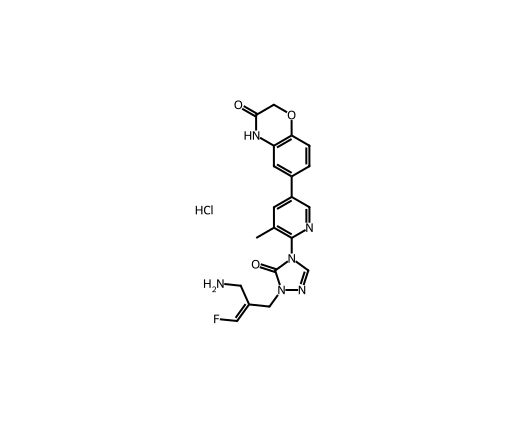 Cc1cc(-c2ccc3c(c2)NC(=O)CO3)cnc1-n1cnn(C/C(=C/F)CN)c1=O.Cl